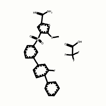 CSc1sc(C(=N)N)cc1S(=O)(=O)c1cccc(-c2ccc(-c3ccccc3)c(F)c2)c1.O=C(O)C(F)(F)F